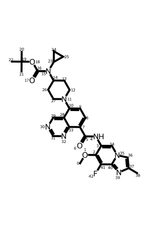 COc1c(NC(=O)c2ccc(N3CCC(N(C(=O)OC(C)(C)C)C4CC4)CC3)c3cncnc23)cn2cc(C)nc2c1F